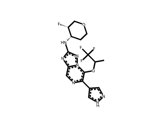 CC(Oc1c(-c2cn[nH]c2)ncc2nc(N[C@H]3CCOC[C@H]3F)nn12)C(F)(F)F